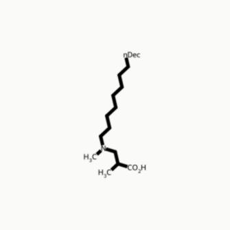 CCCCCCCCCCCCCCCCCCN(C)CC(C)C(=O)O